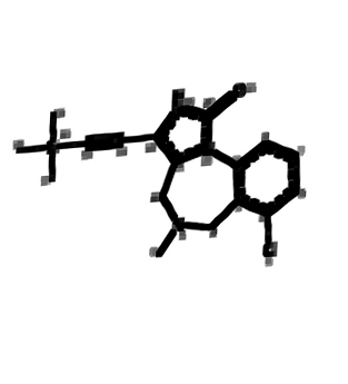 CN1Cc2c(Cl)cccc2-n2c(c(C#C[Si](C)(C)C)[nH]c2=O)C1